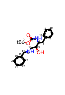 CC(C)(C)OC(=O)NC(Cc1ccccc1)C(O)CNCc1ccccc1